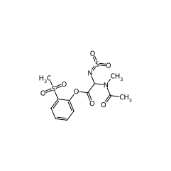 CC(=O)N(C)C(N=S(=O)=O)C(=O)Oc1ccccc1S(C)(=O)=O